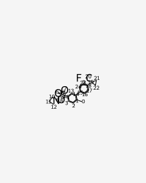 Cc1ccc(S(=O)(=O)ON2CCC2)cc1-c1ccc(C2(C(F)(F)F)CC2)cc1